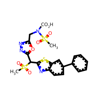 CS(=O)(=O)C(c1nnc(CN(C(=O)O)S(C)(=O)=O)o1)c1nc2ccc(-c3ccccc3)cc2s1